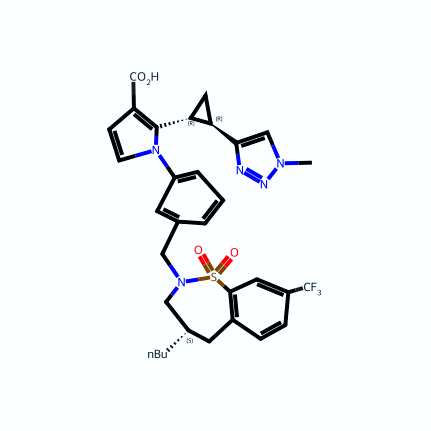 CCCC[C@H]1Cc2ccc(C(F)(F)F)cc2S(=O)(=O)N(Cc2cccc(-n3ccc(C(=O)O)c3[C@@H]3C[C@H]3c3cn(C)nn3)c2)C1